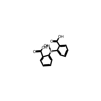 O=NN(c1ccccc1C(=O)O)c1ccccc1C(=O)O